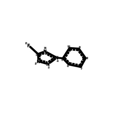 Fc1nnn(-c2ccccc2)n1